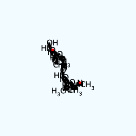 CC1CN(c2nc3nc(NCCOCn4cc(-c5cccc(NC(=O)c6cc7oc(NCCO)nc7nc6N6CCN(C)[C@@H](C)C6)n5)cn4)oc3cc2C(=O)Nc2cccc(-c3cnn(C)c3)n2)CC(C)N1